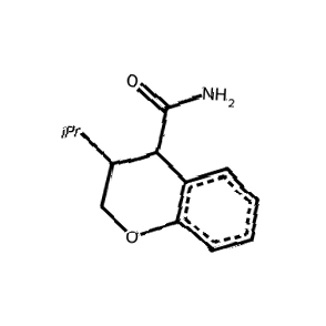 CC(C)C1COc2ccccc2C1C(N)=O